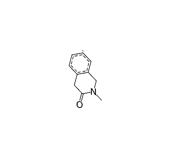 CN1Cc2c[c]ccc2CC1=O